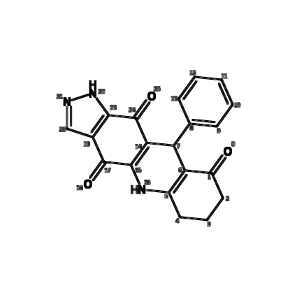 O=C1CCCC2=C1C(c1ccccc1)C1=C(N2)C(=O)c2cn[nH]c2C1=O